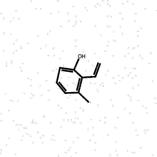 [CH2]c1cccc(O)c1C=C